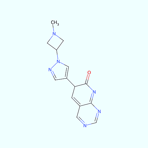 CN1CC(n2cc(C3C=c4cncnc4=NC3=O)cn2)C1